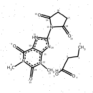 CCCC(=O)O.Cn1c(=O)c2[nH]c(N3C(=O)CCC3=O)nc2n(C)c1=O